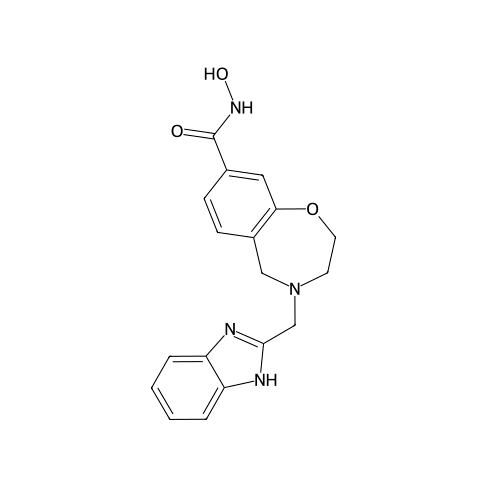 O=C(NO)c1ccc2c(c1)OCCN(Cc1nc3ccccc3[nH]1)C2